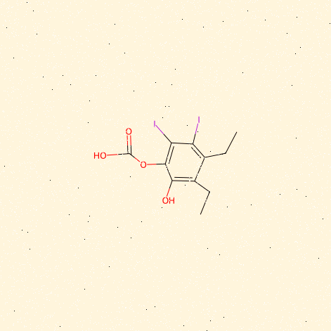 CCc1c(O)c(OC(=O)O)c(I)c(I)c1CC